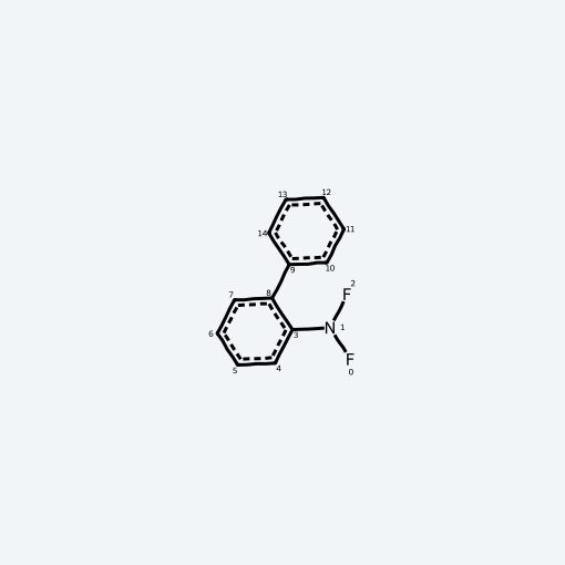 FN(F)c1ccccc1-c1ccccc1